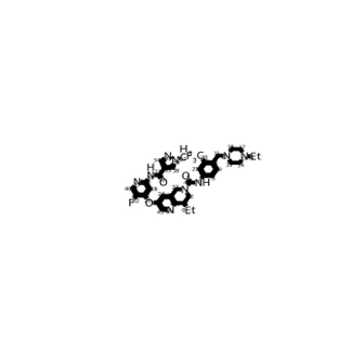 CCC1CN(C(=O)Nc2ccc(CN3CCN(CC)CC3)c(C(F)(F)F)c2)Cc2cc(Oc3cc(NC(=O)c4cnn(C)c4)ncc3F)cnc21